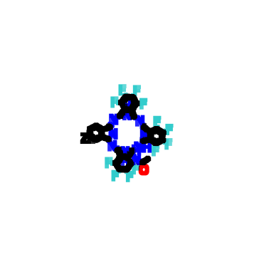 CC(=O)NC1(F)C(F)=C(F)C(F)=c2c1c1[nH]\c2=N/C2=N\C(=N/c3[nH]c(c4c(F)c(F)c(F)c(F)c34)/N=C3\N=C(N1)c1c(F)c(F)c(F)c(F)c13)c1ccccc12.[Zn]